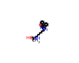 CC(CO)NCCCCCCCCN1CC[C@H](C(C(N)=O)(c2ccccc2)c2ccccc2)C1